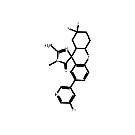 CN1C(=O)C2(N=C1N)c1cc(-c3cncc(Cl)c3)ccc1OC1CCC(F)(F)CC12